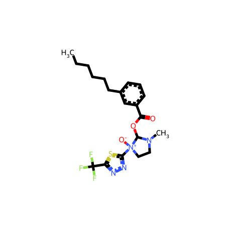 CCCCCCc1cccc(C(=O)OC2N(C)CC[N+]2([O-])c2nnc(C(F)(F)F)s2)c1